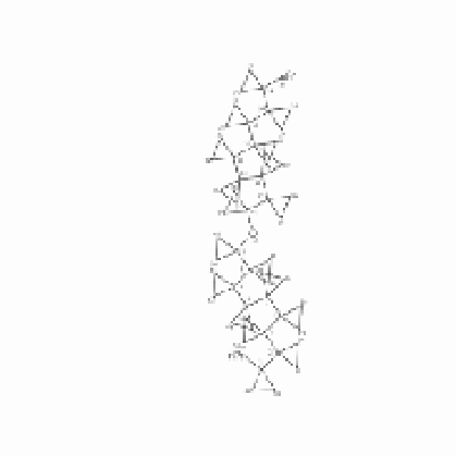 CCCC1(C2(C3(C4(C5(C6(C7(C8(C9(OC%10(C%11(C%12(C%13(C%14(C%15(C%16(C%17(C%18(CCC)CC%18)CC%17)CC%16)CC%15)CC%14)CC%13)CC%12)CC%11)CC%10)CC9)CC8)CC7)CC6)CC5)CC4)CC3)CC2)CC1